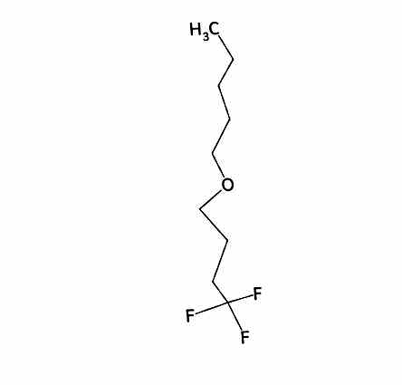 CCCCCOCCCC(F)(F)F